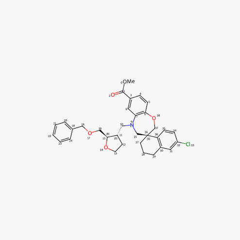 COC(=O)c1ccc2c(c1)N(C[C@@H]1CCO[C@H]1COCc1ccccc1)C[C@@]1(CCCc3cc(Cl)ccc31)CO2